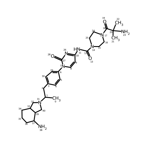 CC(Cc1ccc(-n2ccc(NC(=O)N3CCN(C(=O)C(C)(C)N)CC3)nc2=O)cc1)N1CC2CCCC(N)C2C1